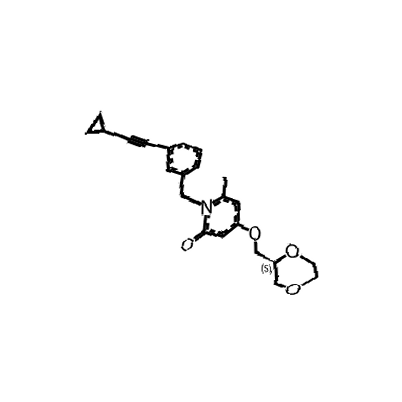 Cc1cc(OC[C@@H]2COCCO2)cc(=O)n1Cc1cccc(C#CC2CC2)c1